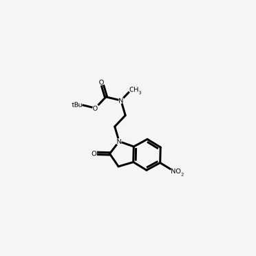 CN(CCN1C(=O)Cc2cc([N+](=O)[O-])ccc21)C(=O)OC(C)(C)C